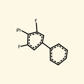 CC(C)c1c(F)cc(-c2ccccc2)cc1F